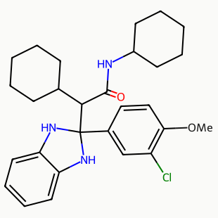 COc1ccc(C2(C(C(=O)NC3CCCCC3)C3CCCCC3)Nc3ccccc3N2)cc1Cl